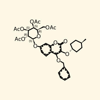 CC(=O)OC[C@H]1O[C@@H](Oc2ccc3c(OCc4ccccc4)c(O[C@H]4CC[C@H](C)CC4)c(=O)oc3c2)[C@H](OC(C)=O)[C@@H](OC(C)=O)[C@H]1OC(C)=O